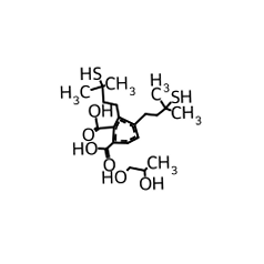 CC(C)(S)CCc1ccc(C(=O)O)c(C(=O)O)c1CCC(C)(C)S.CC(O)CO